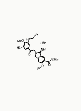 Br.CCOc1cc2c(cc1C(=O)NC)C(=N)N(CC(=O)c1cc(NCC(C)C)c(OC)c(C(C)(C)C)c1)C2